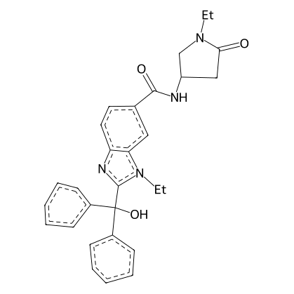 CCN1CC(NC(=O)c2ccc3nc(C(O)(c4ccccc4)c4ccccc4)n(CC)c3c2)CC1=O